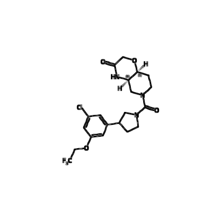 O=C1CO[C@H]2CCN(C(=O)N3CCC(c4cc(Cl)cc(OCC(F)(F)F)c4)C3)C[C@H]2N1